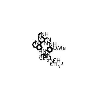 C=CC(=O)Nc1cc(Nc2ncc(-c3ncc[nH]3)c(-c3cn4c5c(cccc35)CCC4)n2)c(OC)cc1N(C)CCN(C)C